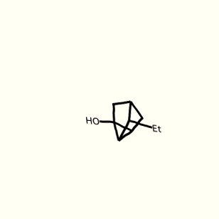 CCC1C2CC3C1C3(O)C2